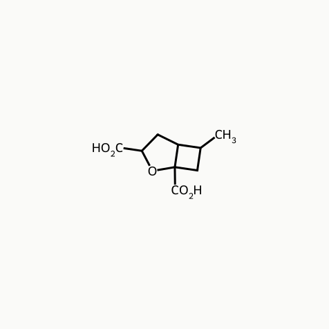 CC1CC2(C(=O)O)OC(C(=O)O)CC12